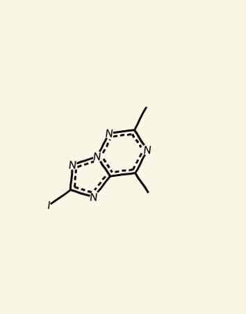 Cc1nc(C)c2nc(I)nn2n1